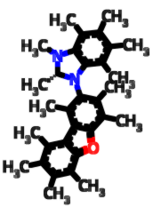 Cc1c(C)c(C)c2c(c1C)N(C)[C@@H](C)N2c1c(C)c(C)c2oc3c(C)c(C)c(C)c(C)c3c2c1C